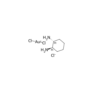 N[C@@H]1CCCC[C@H]1N.[Cl-].[Cl][Au+][Cl]